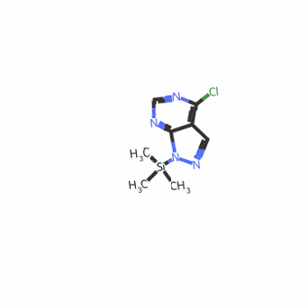 C[Si](C)(C)n1ncc2c(Cl)ncnc21